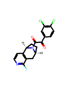 O=C(C(=O)N1[C@H]2CC[C@@H]1c1ccnc(F)c1C2)c1ccc(Cl)c(Cl)c1